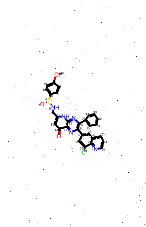 COc1ccc([S+]([O-])NCc2cc(=O)c3nc(-c4cc(Cl)c5ncccc5c4)c(-c4ccccc4)nc3[nH]2)cc1